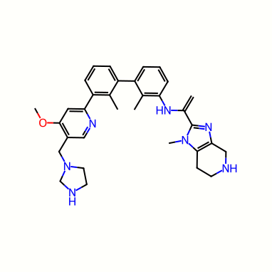 C=C(Nc1cccc(-c2cccc(-c3cc(OC)c(CN4CCNC4)cn3)c2C)c1C)c1nc2c(n1C)CCNC2